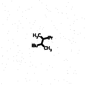 [CH2]C(C)C(C)C(C)C(C)CC